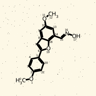 COc1ccc(-c2cc3cc(OC)cc(/C=N/O)c3o2)cc1